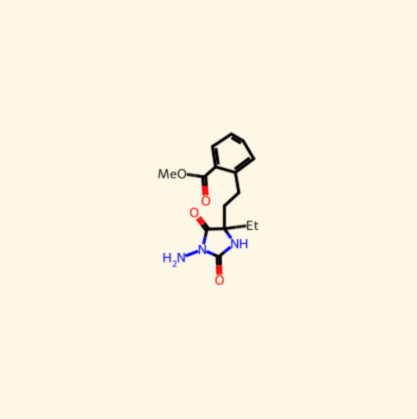 CCC1(CCc2ccccc2C(=O)OC)NC(=O)N(N)C1=O